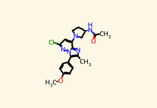 COc1ccc(-c2c(C)nc3c(N4CC[C@@H](NC(C)=O)C4)cc(Cl)nn23)cc1